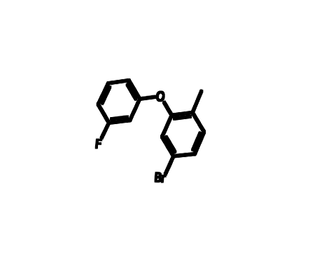 Cc1ccc(Br)cc1Oc1cccc(F)c1